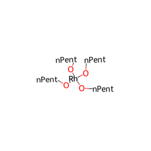 CCCCC[O][Rh]([O]CCCCC)([O]CCCCC)[O]CCCCC